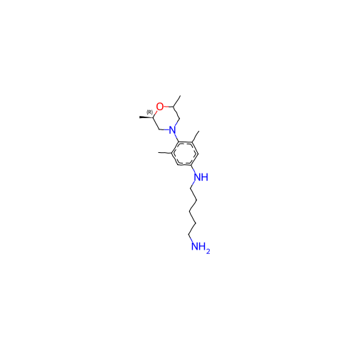 Cc1cc(NCCCCCN)cc(C)c1N1CC(C)O[C@H](C)C1